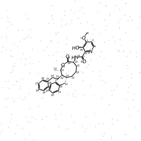 COc1ccnc(C(=O)N[C@H]2CCC[C@H](Cc3ccccc3)[C@@H](CCc3ccccc3)[C@H](C)OC2=O)c1O